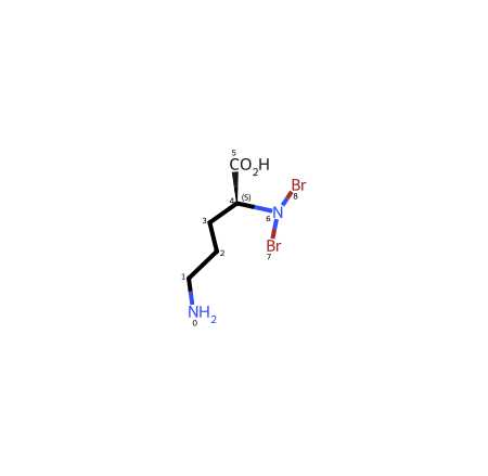 NCCC[C@@H](C(=O)O)N(Br)Br